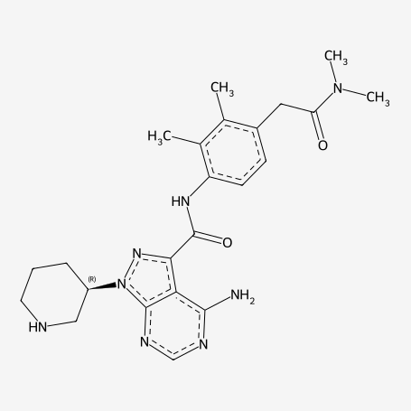 Cc1c(CC(=O)N(C)C)ccc(NC(=O)c2nn([C@@H]3CCCNC3)c3ncnc(N)c23)c1C